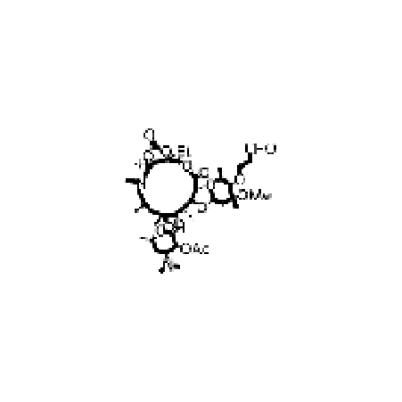 CC[C@H]1OC(=O)[C@H](C)[C@@H](O[C@H]2C[C@@](C)(OC)[C@@H](OCCC=O)[C@H](C)O2)[C@H](C)[C@@H](O[C@@H]2O[C@H](C)C[C@H](N(C)C)[C@H]2OC(C)=O)[C@](C)(O)C[C@@H](C)CN(C)[C@H](C)[C@H]2OC(=O)O[C@@]21C